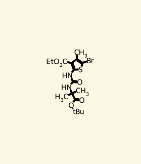 CCOC(=O)c1c(NC(=O)NC(C)(C)C(=O)OC(C)(C)C)sc(Br)c1C